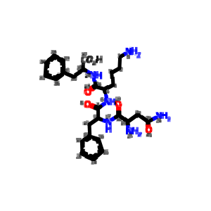 NCCCCC(NC(=O)C(Cc1ccccc1)NC(=O)C(N)CC(N)=O)C(=O)NC(Cc1ccccc1)C(=O)O